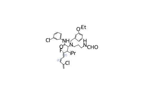 C=C(Cl)/C=C\C=C(/F)C(C(C)C)C(C(=O)Nc1cccc(Cl)c1)N(CCCNC=O)Cc1cccc(OCC)c1